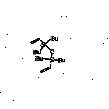 C=C[Si](O[Si](C=C)(C(C)CC)C(C)CC)(C(C)CC)C(C)CC